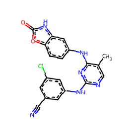 Cc1cnc(Nc2cc(Cl)cc(C#N)c2)nc1Nc1ccc2oc(=O)[nH]c2c1